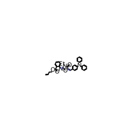 C=CCCOC(=O)c1ccccc1/N=C1/O/C(=C/c2ccc(N(c3ccccc3)c3ccccc3)cc2)C(=O)N1CC